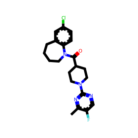 Cc1nc(N2CCC(C(=O)N3CCCCc4cc(Cl)ccc43)CC2)ncc1F